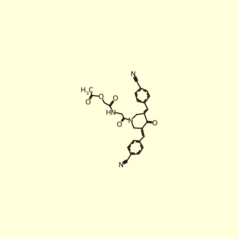 CC(=O)OCC(=O)NCC(=O)N1C/C(=C\c2ccc(C#N)cc2)C(=O)/C(=C/c2ccc(C#N)cc2)C1